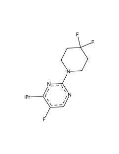 CC(C)c1nc(N2CCC(F)(F)CC2)ncc1F